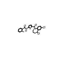 Cc1ccccc1C(=O)Nc1ccc(C(=O)N2CCCC(=O)c3cc(Cl)ccc32)s1